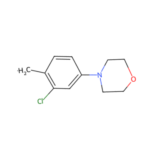 [CH2]c1ccc(N2CCOCC2)cc1Cl